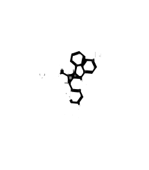 CCCCOc1cnc2c(c1)OC1(c3ccc(Br)cc3)C(=O)[C@@]2(O)C(C(=O)OC)C1c1ccccc1